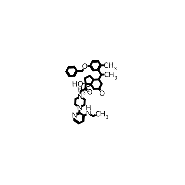 CCNc1cccnc1N1CCN(CC(=O)[C@@]2(O)CCC3C(C(C)c4cc(OCc5ccccc5)ccc4C)CC(=O)CC32C)CC1